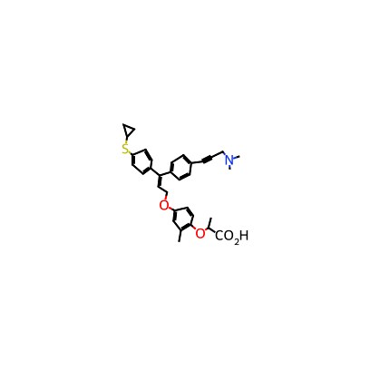 Cc1cc(OC/C=C(\c2ccc(C#CCN(C)C)cc2)c2ccc(SC3CC3)cc2)ccc1OC(C)C(=O)O